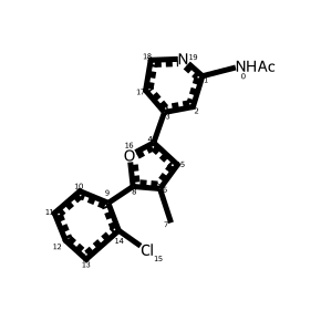 CC(=O)Nc1cc(-c2cc(C)c(-c3ccccc3Cl)o2)ccn1